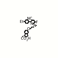 CCc1ccc(-c2nc(N(C)CCCOc3ccc4c(c3)CC[C@H]4CC(=O)O)c(F)cc2C#N)cc1